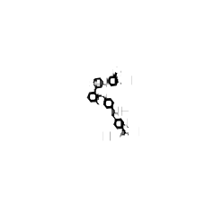 CNc1ccc(CNc2ccc3c(c2)Sc2cccc(C4CN(c5cc[nH]c(=O)c5)CCO4)c2O3)cn1